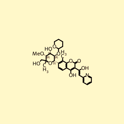 CO[C@@H]1[C@H](O)[C@@H](OC2CCCCO2)[C@H](c2ccc3c(O)c(C(O)=Cc4ccccn4)c(=O)oc3c2C)O[C@]1(C)CO